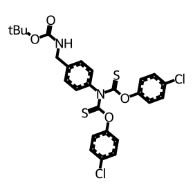 CC(C)(C)OC(=O)NCc1ccc(N(C(=S)Oc2ccc(Cl)cc2)C(=S)Oc2ccc(Cl)cc2)cc1